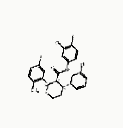 Cc1ccc(F)cc1[C@@H]1NCC[C@@H](C2C=CC=C(Cl)C2)[C@@H]1C(=O)Nc1ccc(F)c(Cl)c1